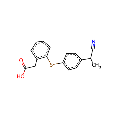 CC(C#N)c1ccc(Sc2ccccc2CC(=O)O)cc1